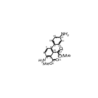 COC(=O)c1c(N)ccc(-c2ccc(N)cc2)c1C(=O)OC